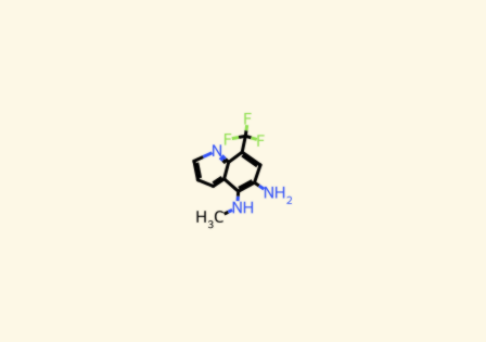 CNc1c(N)cc(C(F)(F)F)c2ncccc12